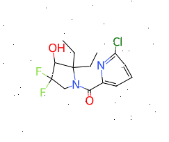 CCC1(CC)C(O)C(F)(F)CN1C(=O)c1cccc(Cl)n1